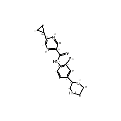 O=C(Nc1ccc(C2CNCCO2)cc1F)c1cnc(C2CC2)cn1